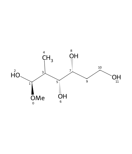 CO[C@@H](O)C(C)[C@@H](O)[C@H](O)CCO